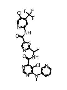 CC(NC(=O)c1ncnc(N(C)c2cccnc2)c1Cl)c1ncc(C(=O)Nc2cc(C(F)(F)F)c(Cl)cn2)s1